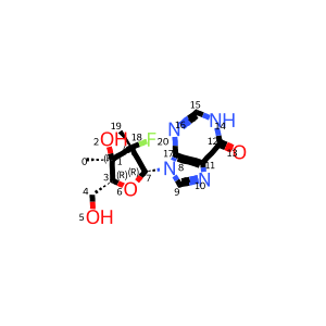 C[C@@]1(O)[C@@H](CO)O[C@@H](n2cnc3c(=O)[nH]cnc32)[C@@]1(C)F